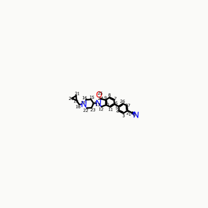 N#Cc1ccc(-c2ccc3c(c2)CN(C2CCN(CC4CC4)CC2)C3=O)cc1